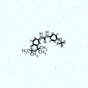 CC1(C)CC(C)(C)c2cc(NC(=S)Nc3ccc(OC(F)(F)F)cc3)ccc2S1